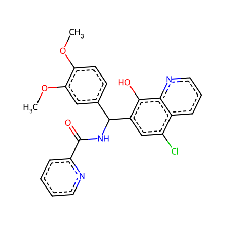 COc1ccc(C(NC(=O)c2ccccn2)c2cc(Cl)c3cccnc3c2O)cc1OC